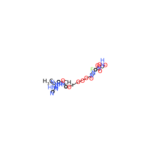 C[C@@H](NC(=O)c1cccc(NC2(c3nnc(-c4ccncc4)[nH]3)CCN(C)CC2)c1)c1cccc(OCCCCCCOCCOCCOCCC(=O)N2CCN(c3cc4c(cc3F)C(=O)N(C3CCC(=O)NC3=O)C4=O)CC2)c1